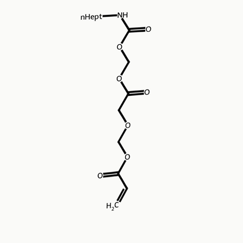 C=CC(=O)OCOCC(=O)OCOC(=O)NCCCCCCC